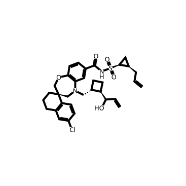 C=CC[C@@H]1C[C@@H]1S(=O)(=O)NC(=O)c1ccc2c(c1)N(C[C@@H]1CC[C@H]1C(O)C=C)C[C@@]1(CCCc3cc(Cl)ccc31)CO2